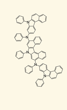 c1ccc(N(c2ccc3c4c5ccccc5ccc4n(-c4ccccc4)c3c2)c2cc3c(c4ccccc24)c2c4ccccc4c(N(c4ccccc4)c4ccc5c6c7ccccc7ccc6n(-c6ccccc6)c5c4)cc2n3-c2ccccc2)cc1